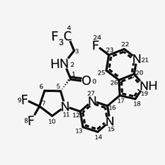 O=C(NCC(F)(F)F)[C@H]1CC(F)(F)CN1c1ccnc(-c2c[nH]c3ncc(F)cc23)n1